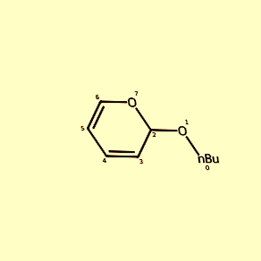 CCCCOC1C=CC=CO1